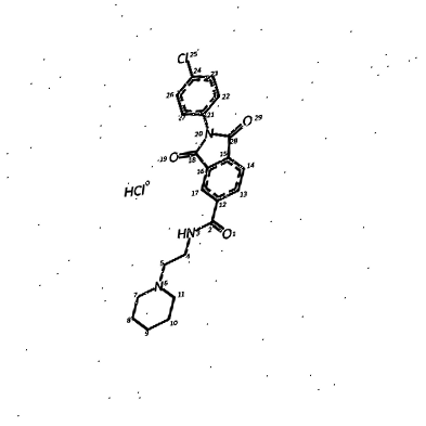 Cl.O=C(NCCN1CCCCC1)c1ccc2c(c1)C(=O)N(c1ccc(Cl)cc1)C2=O